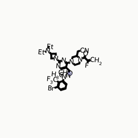 C=C(F)C(=O)N1CCN(c2nc(N3CC(N(CC)CC)C3)nc(C=O)c2/C=N\N(C)c2cccc(Br)c2C(F)(F)F)CC1CC#N